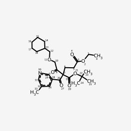 CCOC(=O)CCC(C(=O)COCC1CCCCC1)(C(=O)OC(C)(C)C)C(=O)c1cncc(C)c1